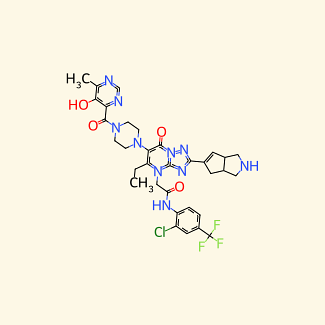 CCc1c(N2CCN(C(=O)c3ncnc(C)c3O)CC2)c(=O)n2nc(C3=CC4CNCC4C3)nc2n1CC(=O)Nc1ccc(C(F)(F)F)cc1Cl